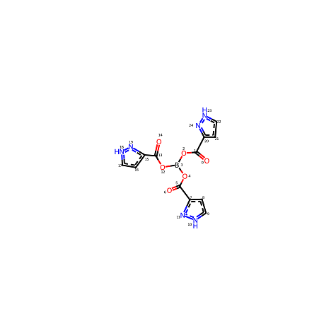 O=C(OB(OC(=O)c1cc[nH]n1)OC(=O)c1cc[nH]n1)c1cc[nH]n1